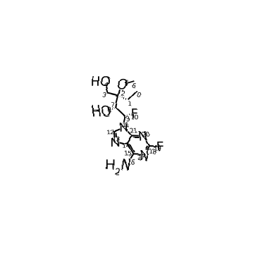 CC[C@](CO)(OC)[C@@H](O)[C@H](F)n1cnc2c(N)nc(F)nc21